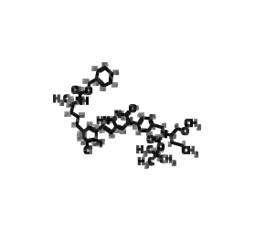 CCC[C@H](COC)N(Cc1ccc(-n2cc3cc(-c4cc(CCC[C@H](C)NC(=O)OCc5ccccc5)cc(Cl)c4F)[nH]c3nc2=O)cc1)C(=O)OC(C)(C)C